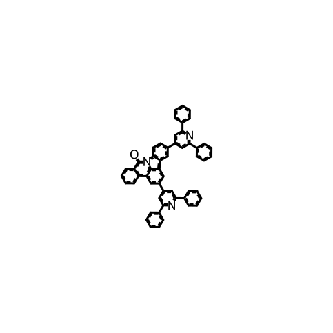 O=c1c2ccccc2c2cc(-c3cc(-c4ccccc4)nc(-c4ccccc4)c3)cc3c4cc(-c5cc(-c6ccccc6)nc(-c6ccccc6)c5)ccc4n1c23